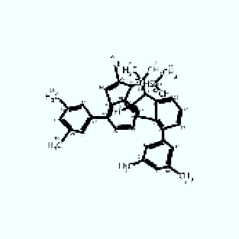 CCC1=Cc2c(-c3cc(C)cc(C)c3)cccc2[CH]1[Zr]([CH3])([CH3])([CH]1C(CC)=Cc2c(-c3cc(C)cc(C)c3)cccc21)[SiH](C)C